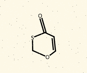 O=C1C=COCS1